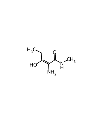 CC/C(O)=C(/N)C(=O)NC